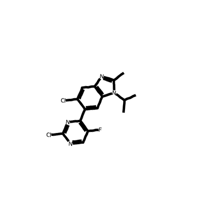 Cc1nc2cc(Cl)c(-c3nc(Cl)ncc3F)cc2n1C(C)C